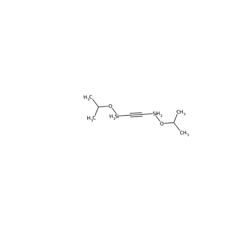 CC(C)O[SiH2]C#C[SiH2]OC(C)C